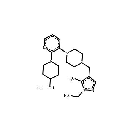 CCn1ncc(CN2CCN(c3cccnc3N3CCC(O)CC3)CC2)c1C.Cl